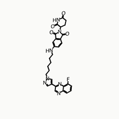 O=C1CCC(N2C(=O)c3ccc(NCCCCCCn4cc(-c5cnc6cccc(F)c6n5)cn4)cc3C2=O)C(=O)N1